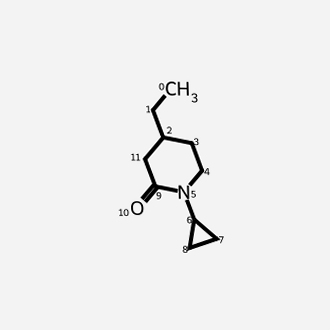 CCC1CCN(C2CC2)C(=O)C1